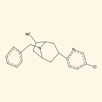 N#CC1CC2CC(c3ccc(Cl)cn3)CC1N2Cc1ccccc1